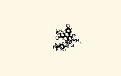 COc1ncc(-c2c(-c3ccc(Cl)cc3)c(=O)n(C)n3c(=O)n(Cc4ccc(C(F)(F)F)nc4)nc23)cc1Cl